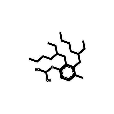 CCCCC(CC)Cc1c(C)ccc(OP(O)O)c1CC(CC)CCCC